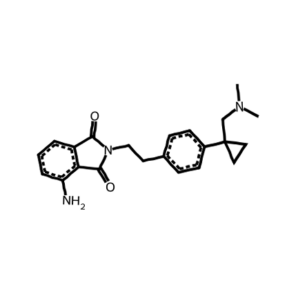 CN(C)CC1(c2ccc(CCN3C(=O)c4cccc(N)c4C3=O)cc2)CC1